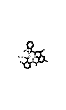 COC(=O)c1c(F)cccc1NC(C)c1cc(C)cc2c(=O)cc(-c3nn(C)c4ccccc34)oc12